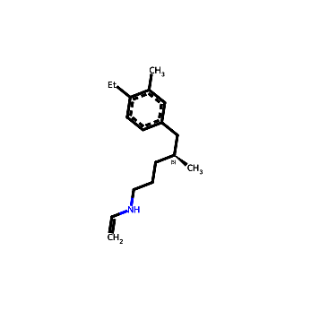 C=CNCCC[C@H](C)Cc1ccc(CC)c(C)c1